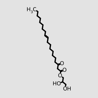 CCCCCCCCC=CCCCCCCCC(=O)CC(=O)OCC(O)CO